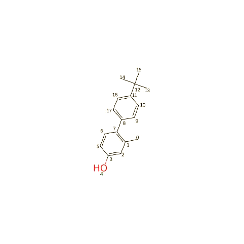 Cc1cc(O)ccc1-c1ccc(C(C)(C)C)cc1